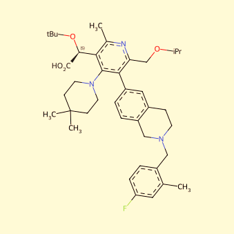 Cc1cc(F)ccc1CN1CCc2cc(-c3c(COC(C)C)nc(C)c([C@H](OC(C)(C)C)C(=O)O)c3N3CCC(C)(C)CC3)ccc2C1